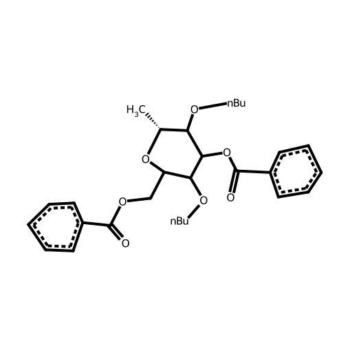 CCCCOC1C(COC(=O)c2ccccc2)O[C@H](C)C(OCCCC)C1OC(=O)c1ccccc1